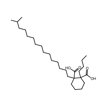 CCCCC1(C(=O)O)CCCCC1(CCCCCCCCCCCCCC(C)C)C(=O)O